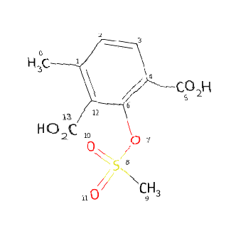 Cc1ccc(C(=O)O)c(OS(C)(=O)=O)c1C(=O)O